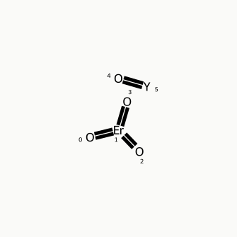 [O]=[Er](=[O])=[O].[O]=[Y]